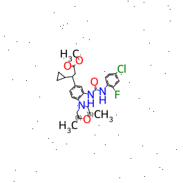 COC(=O)CC(c1ccc(N2C[C@@H](C)O[C@@H](C)C2)c(NC(=O)Nc2ccc(Cl)cc2F)c1)C1CC1